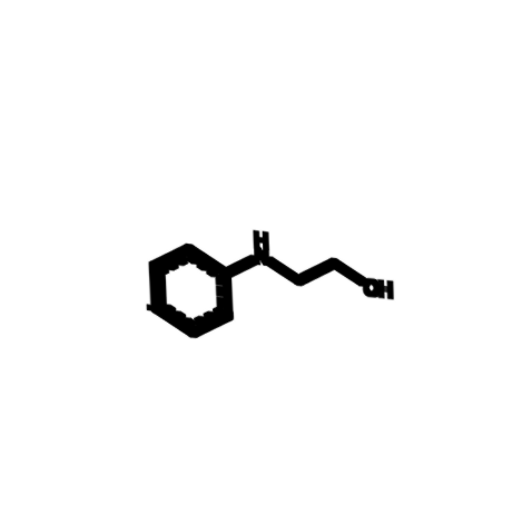 OCCNc1cc[c]cc1